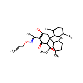 C=CCON=C(CCC)C1=C(O)CC(C2CC(C)CCC2C(C)C)(C2CC(C)CCC2C(C)C)C(C(=O)OC)C1=O